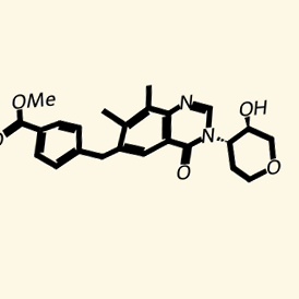 COC(=O)c1ccc(Cc2cc3c(=O)n([C@H]4CCOC[C@@H]4O)cnc3c(C)c2C)cc1